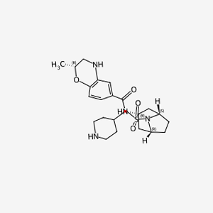 C[C@@H]1CNc2cc(C(=O)N[C@H]3C[C@H]4CC[C@@H](C3)N4S(=O)(=O)CC3CCNCC3)ccc2O1